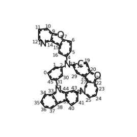 c1cc(N(c2ccc3oc4cccnc4c3c2)c2ccc3oc4cccnc4c3c2)cc(-n2c3ccccc3c3ccccc32)c1